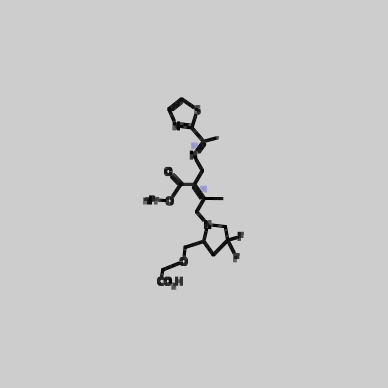 CCCOC(=O)/C(C/N=C(\C)c1nccs1)=C(/C)CN1CC(F)(F)CC1COCC(=O)O